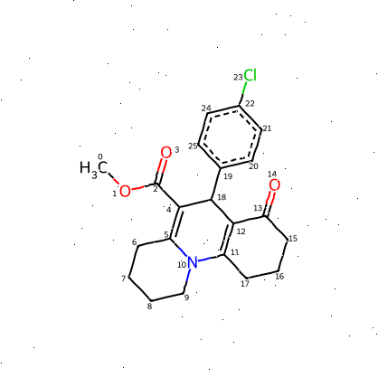 COC(=O)C1=C2CCCCN2C2=C(C(=O)CCC2)C1c1ccc(Cl)cc1